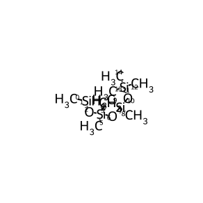 C[SiH2]O[Si](C)(C)O[Si](C)(C)O[Si](C)(C)C